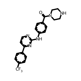 O=C(c1ccc(Nc2nccc(-c3ccc(C(F)(F)F)cc3)n2)cc1)N1CCNCC1